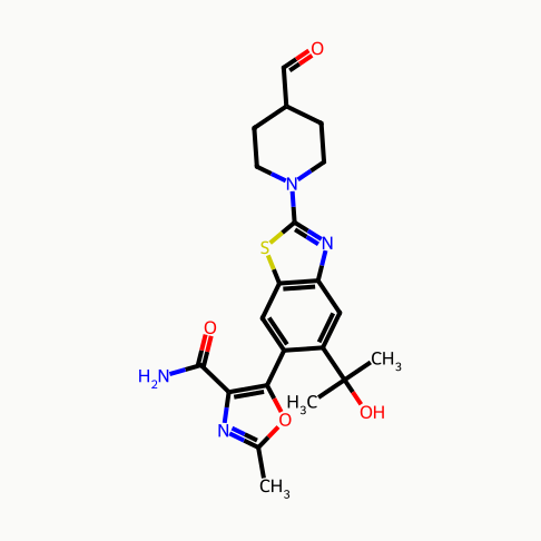 Cc1nc(C(N)=O)c(-c2cc3sc(N4CCC(C=O)CC4)nc3cc2C(C)(C)O)o1